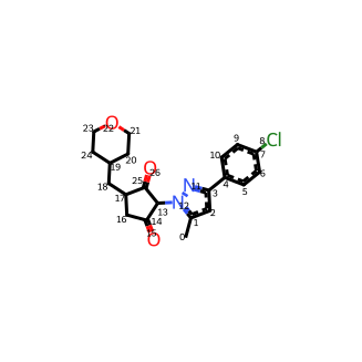 Cc1cc(-c2ccc(Cl)cc2)nn1C1C(=O)CC(CC2CCOCC2)C1=O